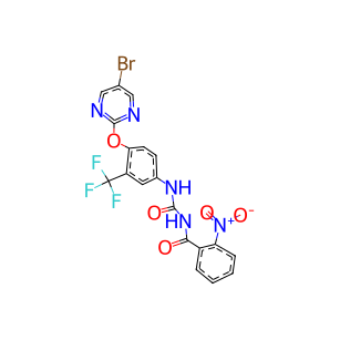 O=C(NC(=O)c1ccccc1[N+](=O)[O-])Nc1ccc(Oc2ncc(Br)cn2)c(C(F)(F)F)c1